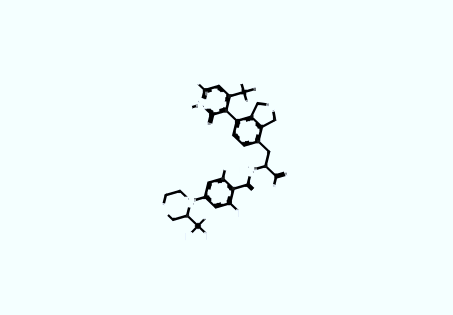 Cc1cc(C(F)(F)F)c(-c2ccc(CC(NC(=O)c3c(F)cc(N4CCOCC4C(F)(F)F)cc3F)C(=O)O)c3c2COC3)c(=O)n1C